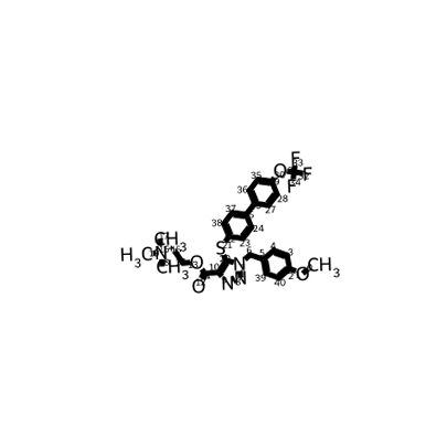 COc1ccc(Cn2nnc(C(=O)OCC[N+](C)(C)C)c2Sc2ccc(-c3ccc(OC(F)(F)F)cc3)cc2)cc1